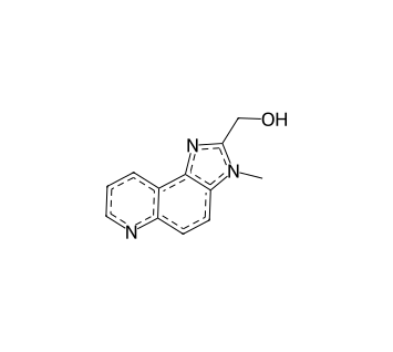 Cn1c(CO)nc2c3cccnc3ccc21